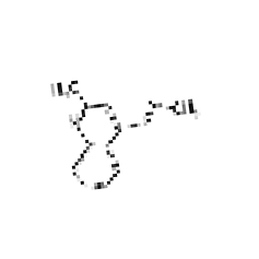 C/N=C/c1cc(C)nc2ccccc12